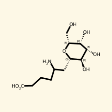 NC(CCCC(=O)O)C[C@@H]1O[C@H](CO)[C@H](O)[C@H](O)[C@H]1O